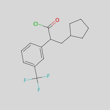 O=C(Cl)C(CC1CCCC1)c1cccc(C(F)(F)F)c1